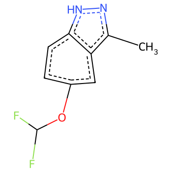 Cc1n[nH]c2ccc(OC(F)F)cc12